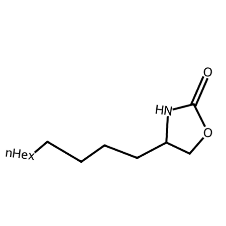 CCCCCCCCCCC1COC(=O)N1